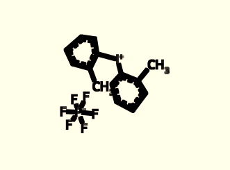 Cc1ccccc1[I+]c1ccccc1C.F[P-](F)(F)(F)(F)F